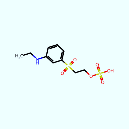 CCNc1cccc(S(=O)(=O)CCOS(=O)(=O)O)c1